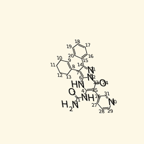 NC(=O)Nc1[nH]c2c(C3=CCCCC3)c(-c3ccccc3)nn2c(=O)c1-c1cccnc1